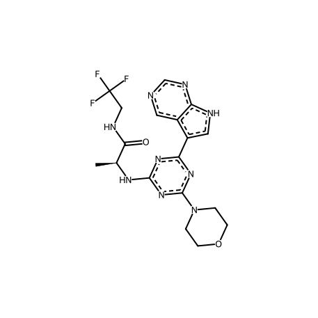 C[C@H](Nc1nc(-c2c[nH]c3ncncc23)nc(N2CCOCC2)n1)C(=O)NCC(F)(F)F